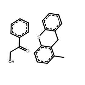 Cc1cccc2c1Cc1ccccc1S2.O=C(CO)c1ccccc1